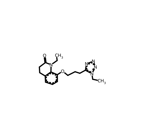 CCN1C(=O)CCc2cccc(OCCCc3nnnn3CC)c21